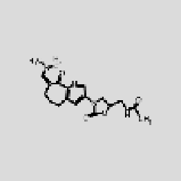 CC(=O)NCC1CN(c2cnc3c(c2)CCCC(=CN(C)C)C3=O)C(=O)O1